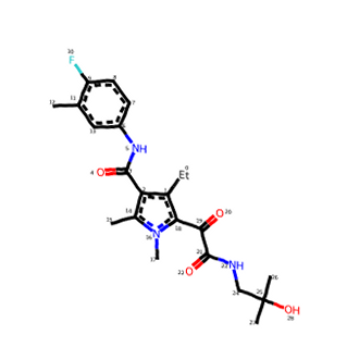 CCc1c(C(=O)Nc2ccc(F)c(C)c2)c(C)n(C)c1C(=O)C(=O)NCC(C)(C)O